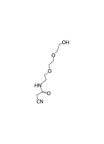 N#CCC(=O)NCCOCCOCCO